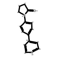 O=C1CCCN1c1ccc(-c2ccncc2)cc1